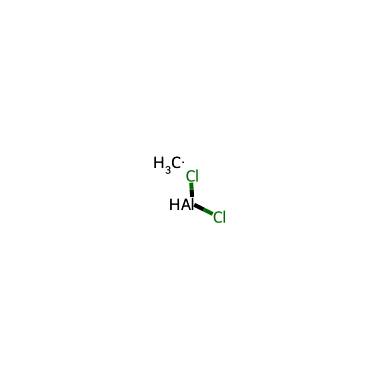 [CH3].[Cl][AlH][Cl]